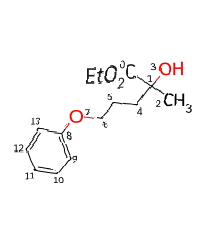 CCOC(=O)C(C)(O)CCCOc1ccccc1